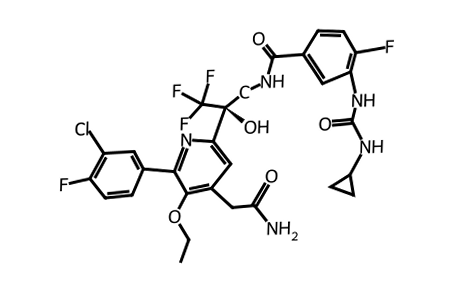 CCOc1c(CC(N)=O)cc([C@@](O)(CNC(=O)c2ccc(F)c(NC(=O)NC3CC3)c2)C(F)(F)F)nc1-c1ccc(F)c(Cl)c1